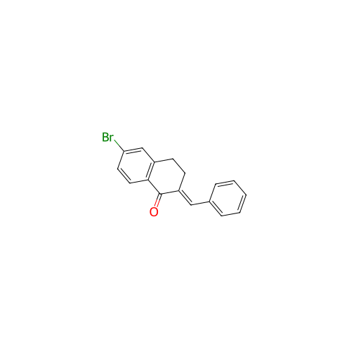 O=C1/C(=C/c2ccccc2)CCc2cc(Br)ccc21